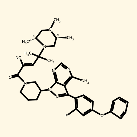 C[C@@H]1CN(C)[C@@H](C)CN1C(C)(C)C=C(C#N)C(=O)N1CCCC(n2nc(-c3ccc(Oc4ccccc4)cc3F)c3c(N)ncnc32)C1